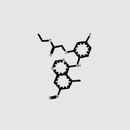 CCOC(=O)COc1cc(F)ccc1Nc1ncnc2cc(N=S)cc(C)c12